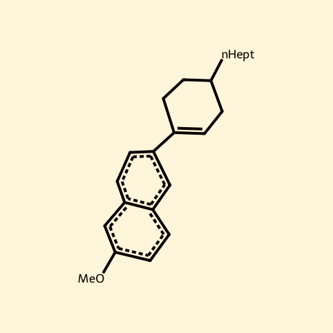 CCCCCCCC1CC=C(c2ccc3cc(OC)ccc3c2)CC1